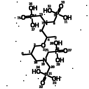 CC(COC(C)CN(CP(=O)(O)O)CP(=O)(O)O)CN(CP(=O)(O)O)CP(=O)(O)O